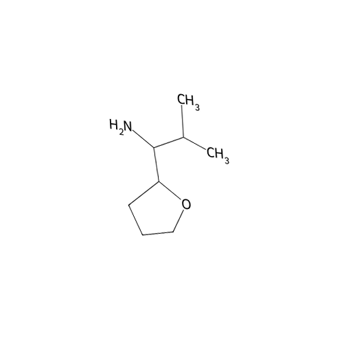 CC(C)C(N)C1CCCO1